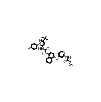 CSCC(=O)Nc1cc(Oc2ccc(NC(=O)Nc3cc(C(C)(C)C)nn3-c3ccc(C)cc3)c3ccccc23)ccn1